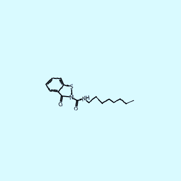 CCCCCCCCNC(=O)n1sc2ccccc2c1=O